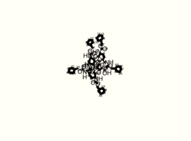 O=C(NC[C@@H]1C=C[C@@H](NC(=O)OCc2ccccc2)[C@@H](O[C@H]2[C@H](O[C@@H]3O[C@H](CO)[C@@H](O[C@H]4O[C@H](CNC(=O)OCc5ccccc5)C=C[C@H]4NC(=O)OCc4ccccc4)[C@H]3O)[C@H]3OC(=O)N[C@@H]3C[C@@H]2NC(=O)OCc2ccccc2)O1)OCc1ccccc1